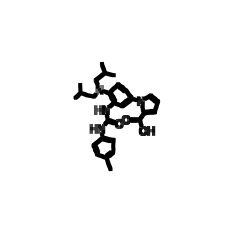 Cc1ccc(NC(=O)Nc2cc(-n3cccc3C(=O)O)ccc2N(CC(C)C)CC(C)C)cc1